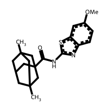 COc1ccc2nc(NC(=O)C34CC5CC(C)(CC(C)(C5)C3)C4)sc2c1